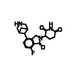 O=C1CCC(N2Cc3c(C4C5CNCC4C5)ccc(F)c3C2=O)C(=O)N1